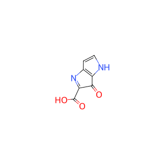 O=C(O)C1=Nc2cc[nH]c2C1=O